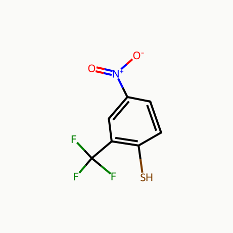 O=[N+]([O-])c1ccc(S)c(C(F)(F)F)c1